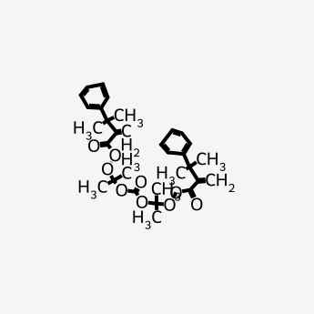 C=C(C(=O)OOC(C)(C)OC(=O)OC(C)(C)OOC(=O)C(=C)C(C)(C)c1ccccc1)C(C)(C)c1ccccc1